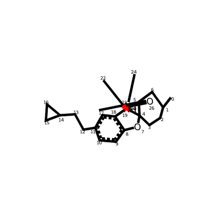 CC1CCC2(CC1)Oc1ccc(CCC3CC3)cc1C21NC(C)N(C)C1=O